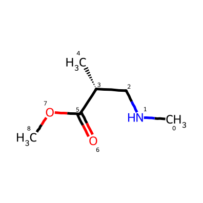 CNC[C@@H](C)C(=O)OC